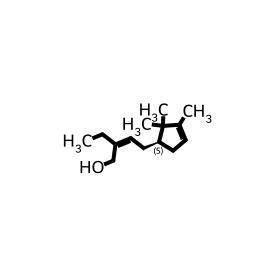 CCC(=CC[C@@H]1CC=C(C)C1(C)C)CO